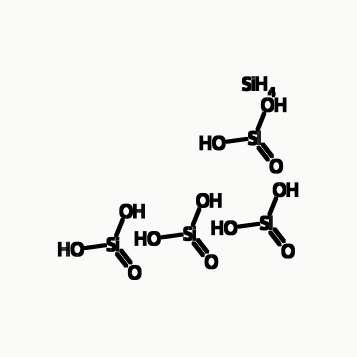 O=[Si](O)O.O=[Si](O)O.O=[Si](O)O.O=[Si](O)O.[SiH4]